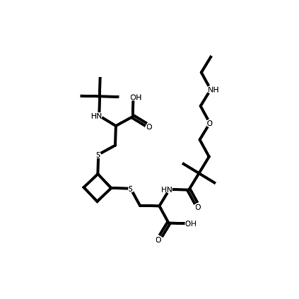 CCNCOCCC(C)(C)C(=O)NC(CSC1CCC1SCC(NC(C)(C)C)C(=O)O)C(=O)O